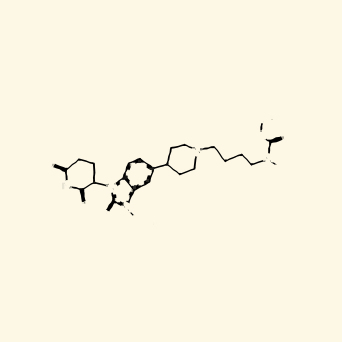 CN(CCCCN1CCC(c2ccc3c(c2)n(C)c(=O)n3C2CCC(=O)NC2=O)CC1)C(=O)OC(C)(C)C